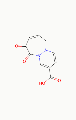 O=C(O)C1=CN2C(=O)C(=O)C=CCN2C=C1